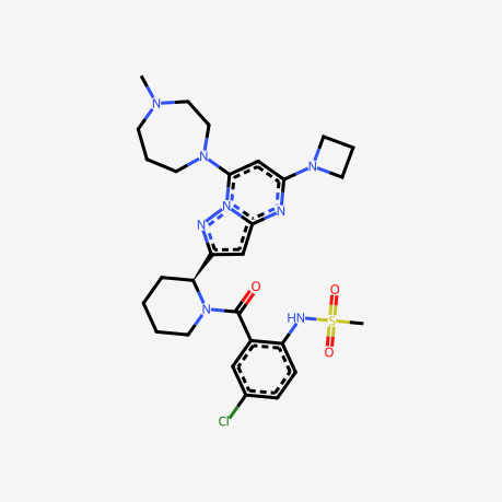 CN1CCCN(c2cc(N3CCC3)nc3cc([C@@H]4CCCCN4C(=O)c4cc(Cl)ccc4NS(C)(=O)=O)nn23)CC1